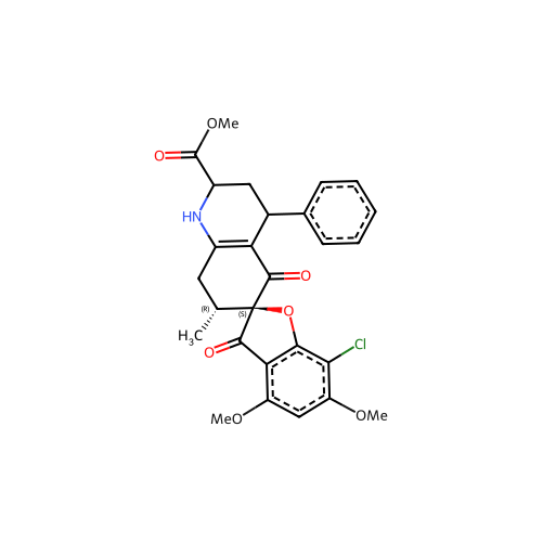 COC(=O)C1CC(c2ccccc2)C2=C(C[C@@H](C)[C@]3(Oc4c(Cl)c(OC)cc(OC)c4C3=O)C2=O)N1